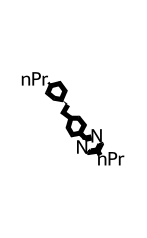 CCCc1cnc(C2CCC(CC[C@H]3CC[C@H](CCC)CC3)CC2)nc1